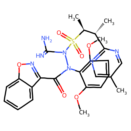 COc1cccc(OC)c1N(C(=O)c1noc2ccccc12)N(C(=N)N)S(=O)(=O)[C@@H](C)[C@H](C)c1ncc(C)cn1